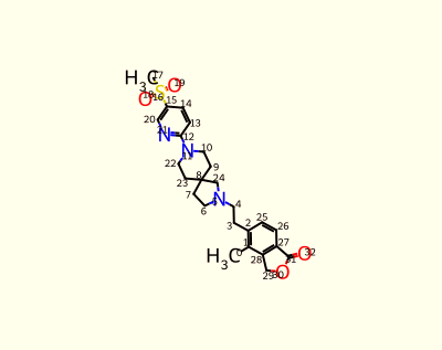 Cc1c(CCN2CCC3(CCN(c4ccc(S(C)(=O)=O)cn4)CC3)C2)ccc2c1COC2=O